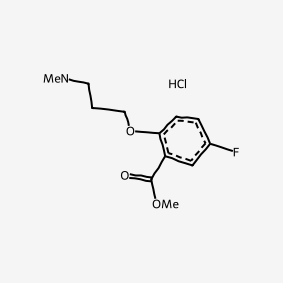 CNCCCOc1ccc(F)cc1C(=O)OC.Cl